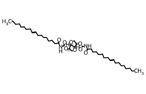 CCCCCCCCC=CCCCCCCCC(=O)NC(=O)O[C@H]1CO[C@H]2[C@@H]1OC[C@H]2OC(=O)NC(=O)CCCCCCCC=CCCCCCCCC